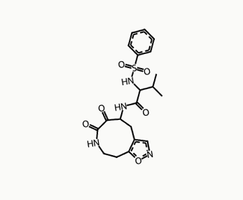 CC(C)C(NS(=O)(=O)c1ccccc1)C(=O)NC1Cc2cnoc2CCNC(=O)C1=O